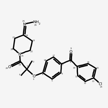 CC(C)(Oc1ccc(C(=O)c2ccc(Cl)cc2)cc1)C(=O)N1CCC(=NN)CC1